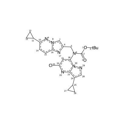 CC(C)(C)OC(=O)N(Cc1cn2nc(C3CC3)ccc2n1)c1cc(Cl)nc2c(C3CC3)cnn12